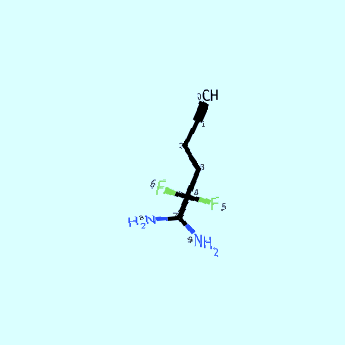 C#CCCC(F)(F)C(N)N